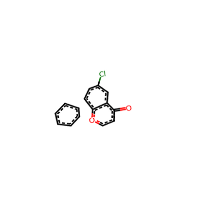 O=c1ccoc2ccc(Cl)cc12.c1ccccc1